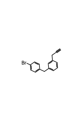 C#CCc1cccc(Cc2ccc(Br)cc2)c1